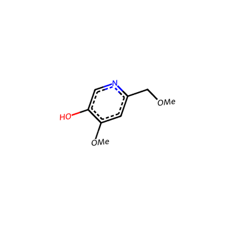 COCc1cc(OC)c(O)cn1